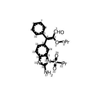 CCCOC(C=O)=C(c1ccccc1)c1ccc2nc(N)n(S(=O)(=O)C(C)C)c2c1